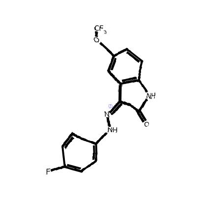 O=C1Nc2ccc(OC(F)(F)F)cc2/C1=N/Nc1ccc(F)cc1